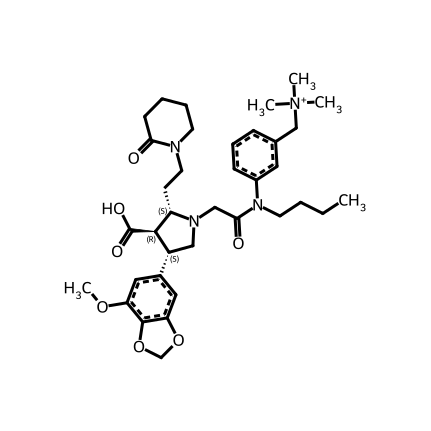 CCCCN(C(=O)CN1C[C@H](c2cc(OC)c3c(c2)OCO3)[C@@H](C(=O)O)[C@@H]1CCN1CCCCC1=O)c1cccc(C[N+](C)(C)C)c1